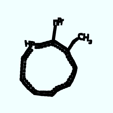 CCCc1[pH]ccccccc1C